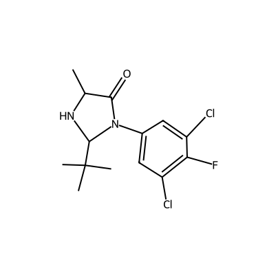 CC1NC(C(C)(C)C)N(c2cc(Cl)c(F)c(Cl)c2)C1=O